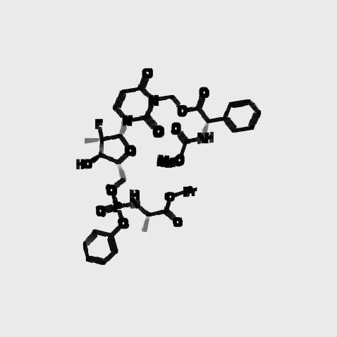 COC(=O)N[C@H](C(=O)OCn1c(=O)ccn([C@@H]2O[C@H](COP(=O)(N[C@@H](C)C(=O)OC(C)C)Oc3ccccc3)[C@@H](O)[C@@]2(C)F)c1=O)c1ccccc1